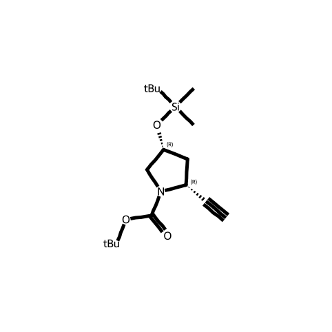 C#C[C@H]1C[C@@H](O[Si](C)(C)C(C)(C)C)CN1C(=O)OC(C)(C)C